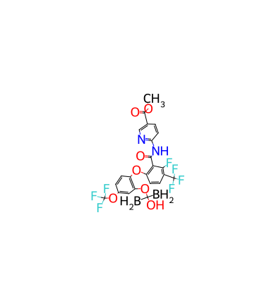 BC(B)(O)Oc1cc(OC(F)(F)F)ccc1Oc1ccc(C(F)(F)F)c(F)c1C(=O)Nc1ccc(C(=O)OC)cn1